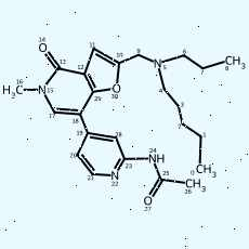 CCCCCN(CCC)Cc1cc2c(=O)n(C)cc(-c3ccnc(NC(C)=O)c3)c2o1